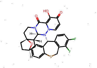 O=C1c2c(O)c(=O)ccn2N([C@H]2c3ccccc3SCc3c2ccc(F)c3F)[C@H]2[C@@H]3C[C@H]4CC[C@]3(CCN12)O4